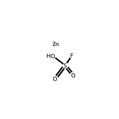 O=S(=O)(O)F.[Zn]